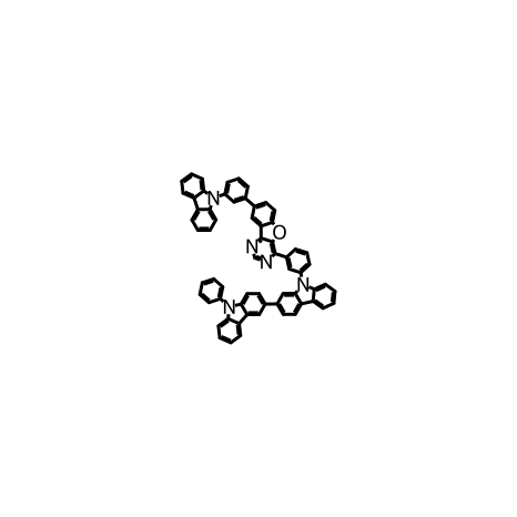 c1ccc(-n2c3ccccc3c3cc(-c4ccc5c6ccccc6n(-c6cccc(-c7ncnc8c7oc7ccc(-c9cccc(-n%10c%11ccccc%11c%11ccccc%11%10)c9)cc78)c6)c5c4)ccc32)cc1